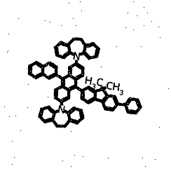 CC1(C)c2cc(-c3ccccc3)ccc2-c2ccc(-c3c4ccc(N5c6ccccc6CCc6ccccc65)cc4c(-c4ccc5ccccc5c4)c4ccc(N5c6ccccc6CCc6ccccc65)cc34)cc21